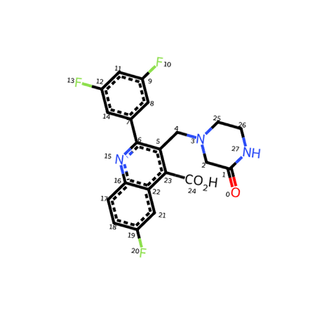 O=C1CN(Cc2c(-c3cc(F)cc(F)c3)nc3ccc(F)cc3c2C(=O)O)CCN1